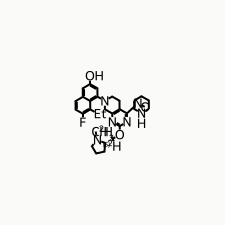 [2H]C([2H])(Oc1nc2c(c(N3CC4CCC3CN4)n1)CCN(c1cc(O)cc3ccc(F)c(CC)c13)C2)[C@@H]1CCCN1C